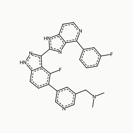 CN(C)Cc1cncc(-c2ccc3[nH]nc(-c4nc5c(-c6cccc(F)c6)nccc5[nH]4)c3c2F)c1